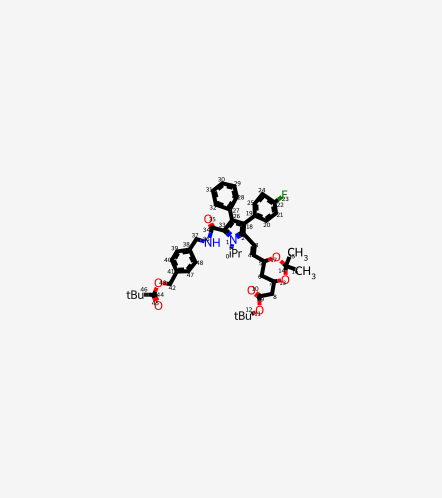 CC(C)n1c(/C=C/C2CC(CC(=O)OC(C)(C)C)OC(C)(C)O2)c(-c2ccc(F)cc2)c(-c2ccccc2)c1C(=O)NCc1ccc(COC(=O)C(C)(C)C)cc1